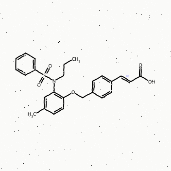 CCCN(c1cc(C)ccc1OCc1ccc(/C=C/C(=O)O)cc1)S(=O)(=O)c1ccccc1